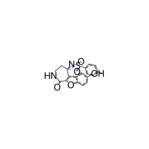 Cc1ccc(S(=O)(=O)/N=C2/CCNC(=O)c3oc4ccc(O)cc4c32)cc1